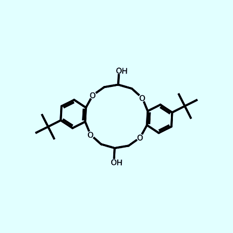 CC(C)(C)c1ccc2c(c1)OCC(O)COc1ccc(C(C)(C)C)cc1OCC(O)CO2